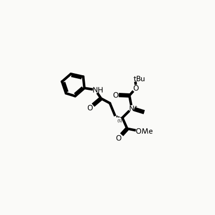 C=[N+](C(=O)OC(C)(C)C)[C@@H](CCC(=O)Nc1ccccc1)C(=O)OC